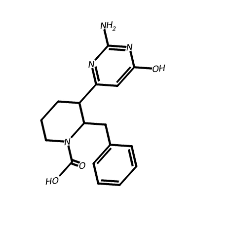 Nc1nc(O)cc(C2CCCN(C(=O)O)C2Cc2ccccc2)n1